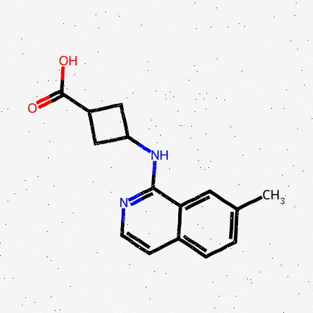 Cc1ccc2ccnc(NC3CC(C(=O)O)C3)c2c1